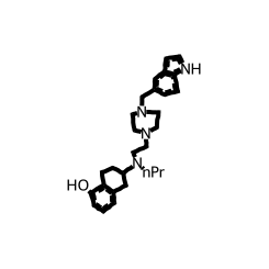 CCCN(CCN1CCN(Cc2ccc3[nH]ccc3c2)CC1)C1CCc2c(O)cccc2C1